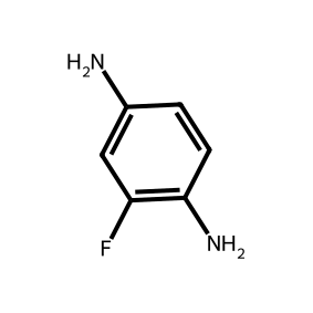 Nc1ccc(N)c(F)c1